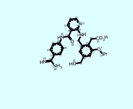 CC(C)Oc1cc(CO)cc(CNc2ncccc2C(=O)Nc2ccc(C(=N)N)cc2)c1CC(=O)O